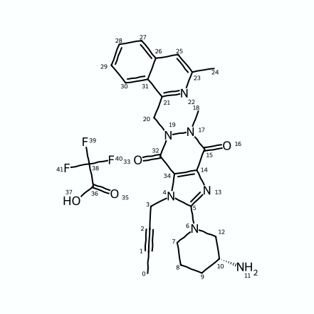 CC#CCn1c(N2CCC[C@@H](N)C2)nc2c(=O)n(C)n(Cc3nc(C)cc4ccccc34)c(=O)c21.O=C(O)C(F)(F)F